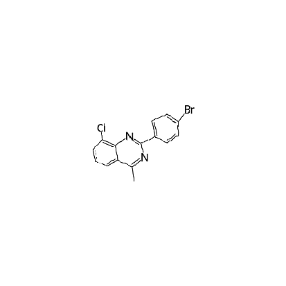 Cc1nc(-c2ccc(Br)cc2)nc2c(Cl)cccc12